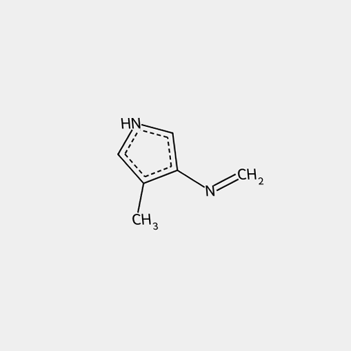 C=Nc1c[nH]cc1C